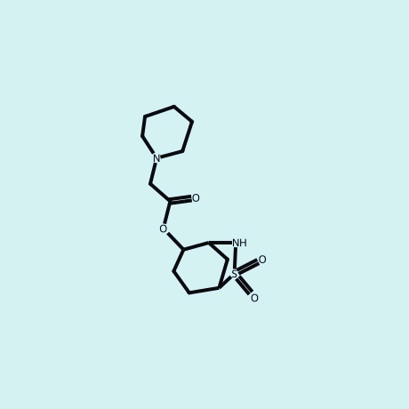 O=C(CN1CCCCC1)OC1CCC2CC1NS2(=O)=O